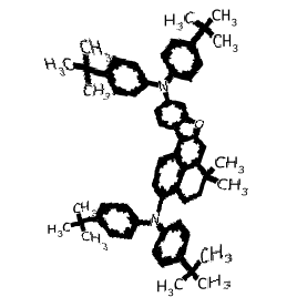 CC(C)(C)c1ccc(N(c2ccc(C(C)(C)C)cc2)c2ccc3c(c2)oc2cc4c5c(c(N(c6ccc(C(C)(C)C)cc6)c6ccc(C(C)(C)C)cc6)ccc5c23)CCC4(C)C)cc1